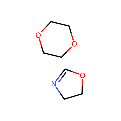 C1=NCCO1.C1COCCO1